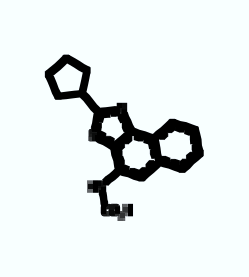 O=C(O)Nc1cc2ccccc2c2nc(C3CCCC3)sc12